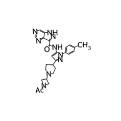 CC(=O)N1CC(N2CCC(c3cc(NC(=O)c4n[nH]c5cncnc45)n(-c4ccc(C)cc4)n3)CC2)C1